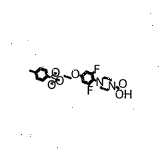 Cc1ccc(S(=O)(=O)OCCOc2cc(F)c(N3CCN(C(=O)O)CC3)c(F)c2)cc1